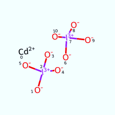 [Cd+2].[O-][I+3]([O-])([O-])[O-].[O-][I+3]([O-])([O-])[O-]